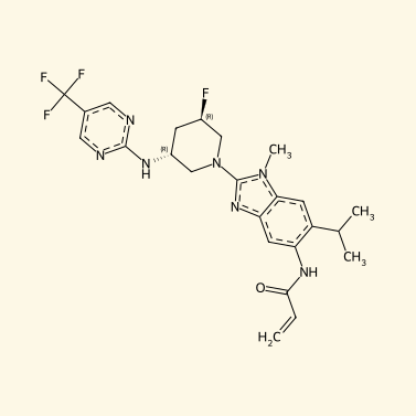 C=CC(=O)Nc1cc2nc(N3C[C@H](F)C[C@@H](Nc4ncc(C(F)(F)F)cn4)C3)n(C)c2cc1C(C)C